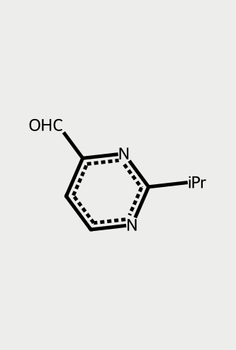 CC(C)c1nccc(C=O)n1